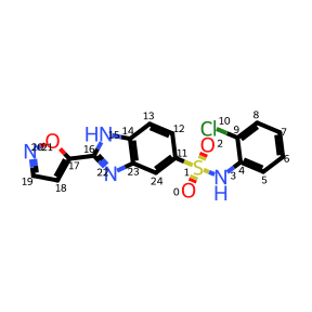 O=S(=O)(Nc1ccccc1Cl)c1ccc2[nH]c(-c3ccno3)nc2c1